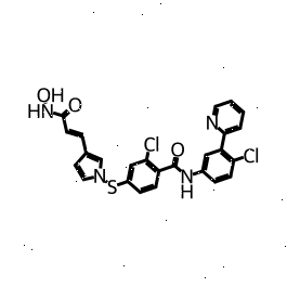 O=C(/C=C/c1ccn(Sc2ccc(C(=O)Nc3ccc(Cl)c(-c4ccccn4)c3)c(Cl)c2)c1)NO